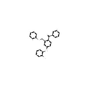 Nc1ccccc1Nc1ccc(C(=O)c2ccccc2)c(COc2ccccc2)c1